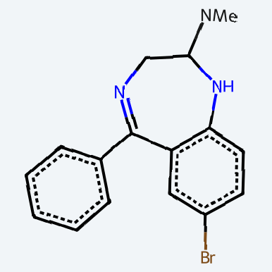 CNC1CN=C(c2ccccc2)c2cc(Br)ccc2N1